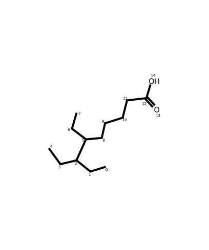 CC[C](CC)C(CC)CCCCC(=O)O